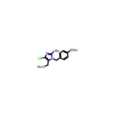 CCCCc1nc(Cl)c(COC)n1Cc1ccc(NC)cc1